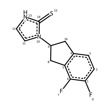 Fc1ccc2c(c1F)CC(n1cc[nH]c1=S)C2